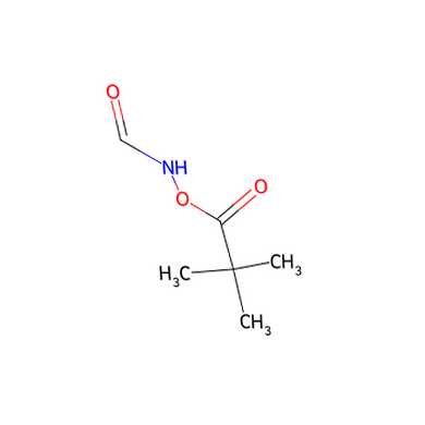 CC(C)(C)C(=O)ONC=O